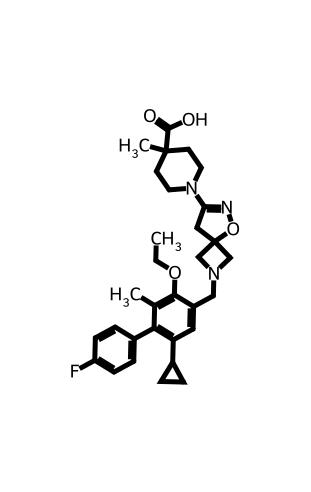 CCOc1c(CN2CC3(CC(N4CCC(C)(C(=O)O)CC4)=NO3)C2)cc(C2CC2)c(-c2ccc(F)cc2)c1C